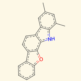 Cc1cc(C)c2[nH]c3c(ccc4c5ccccc5oc43)c2c1